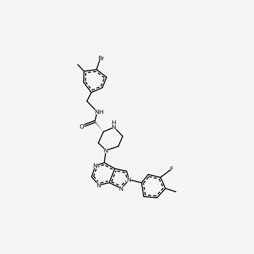 Cc1ccc(-n2cc3c(N4CCN[C@@H](C(=O)NCc5ccc(Br)c(C)c5)C4)ncnc3n2)cc1F